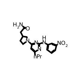 CCCc1cc(N2CCC(CC(N)=O)C2)nc(Nc2cccc([N+](=O)[O-])c2)n1